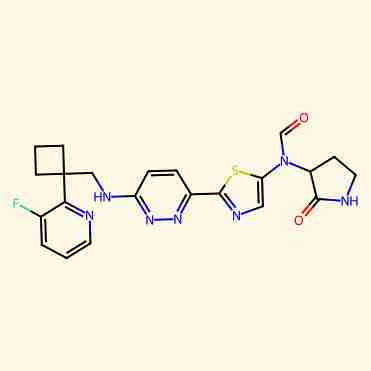 O=CN(c1cnc(-c2ccc(NCC3(c4ncccc4F)CCC3)nn2)s1)C1CCNC1=O